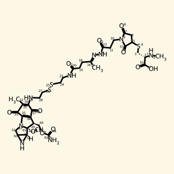 CN[C@@H](CSC1CC(=O)N(CCC(=O)N/N=C(\C)CCC(=O)NCCSSCCNC2=C(C)C(=O)C3=C(C2=O)[C@@H](COC(N)=O)[C@@]2(OC)[C@H]4NC4CN32)C1=O)C(=O)O